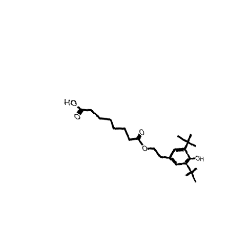 CC(C)(C)c1cc(CCOC(=O)CCCCCCC(=O)O)cc(C(C)(C)C)c1O